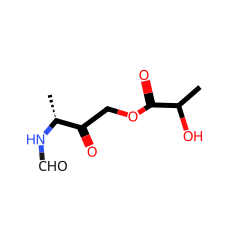 CC(O)C(=O)OCC(=O)[C@@H](C)NC=O